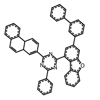 C1=CC2c3ccccc3C=CC2C=C1c1nc(-c2ccccc2)nc(-c2cc(-c3cccc(-c4ccccc4)c3)cc3oc4ccccc4c23)n1